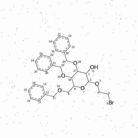 OC1C(OCCBr)OC(COCc2ccccc2)C(OCc2ccccc2)C1OCc1ccccc1